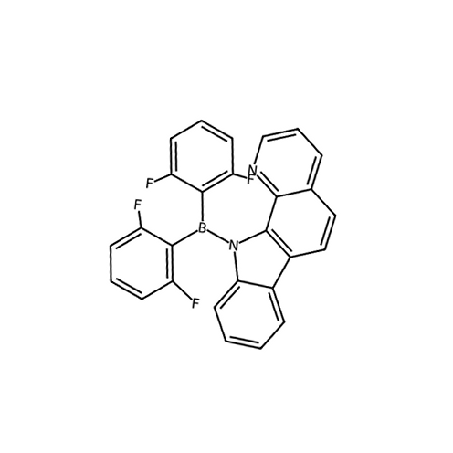 Fc1cccc(F)c1B(c1c(F)cccc1F)n1c2ccccc2c2ccc3cccnc3c21